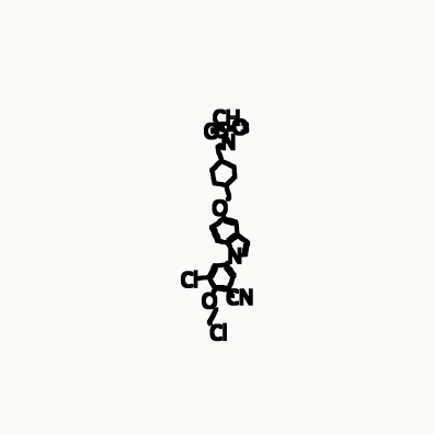 CS(=O)(=O)/N=C/C1CCC(COc2ccc3c(ccn3-c3cc(Cl)c(OCCCl)c(C#N)c3)c2)CC1